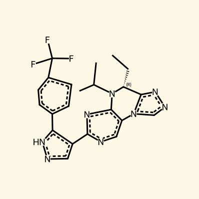 CC[C@@H]1c2nncn2-c2cnc(-c3cn[nH]c3-c3ccc(C(F)(F)F)cc3)nc2N1C(C)C